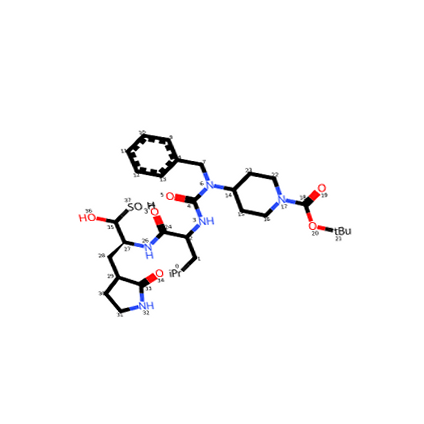 CC(C)CC(NC(=O)N(Cc1ccccc1)C1CCN(C(=O)OC(C)(C)C)CC1)C(=O)N[C@@H](CC1CCNC1=O)C(O)S(=O)(=O)O